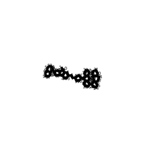 CC1(C)c2cc(/C=C/c3ccc(-c4c5ccccc5c(N5c6ccccc6C=CC6C=CC=CC65)c5ccccc45)cc3)ccc2-c2ccc(N3CCCc4ccccc43)cc21